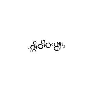 Cc1cc(=O)n(-c2ccc(N3CCC(Oc4cccnc4N)CC3)c(Cl)c2)c(C)n1